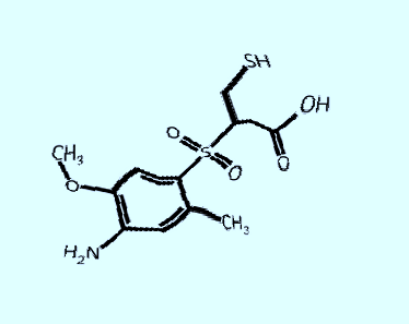 COc1cc(S(=O)(=O)C(CS)C(=O)O)c(C)cc1N